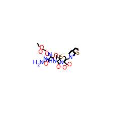 CCOC(=O)CO/N=C(/C(=O)NC1C(=O)N2C(C(=O)[O-])=C(C[n+]3ccc4ccsc4c3)CS[C@H]12)c1coc(N)n1